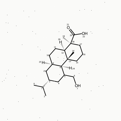 CC(C)[C@H]1CC(CO)[C@H]2[C@H](CC[C@@H]3[C@]2(C)CCC[C@]3(C)C(=O)O)C1